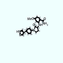 COc1ccc(C(N)=O)c(NC2CCN(c3ccc(-c4cn[nH]c4)cc3)C2=O)c1